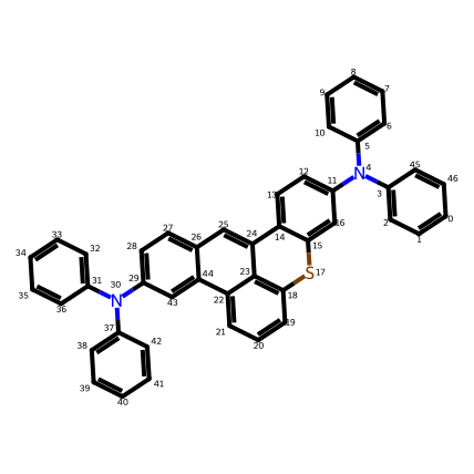 c1ccc(N(c2ccccc2)c2ccc3c(c2)Sc2cccc4c2c-3cc2ccc(N(c3ccccc3)c3ccccc3)cc24)cc1